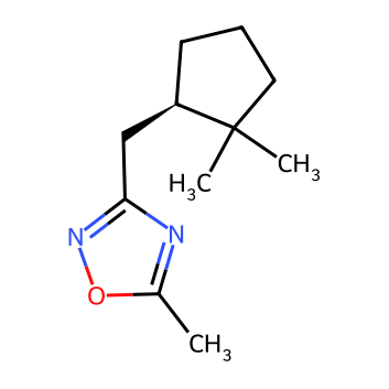 Cc1nc(C[C@H]2CCCC2(C)C)no1